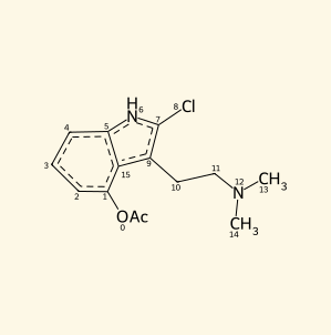 CC(=O)Oc1cccc2[nH]c(Cl)c(CCN(C)C)c12